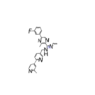 C=C/N=C(/NCc1ccc(-c2ccnc(C)c2)nc1)c1ncc(-c2cccc(F)c2)nc1C